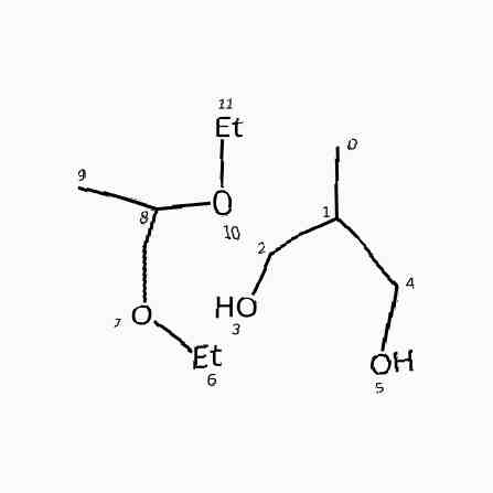 CC(CO)CO.CCOC(C)OCC